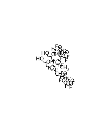 C[n+]1ccn(CC(O)CO)c1.C[n+]1ccn(CC(O)CO)c1.O=S(=O)([N-]S(=O)(=O)C(F)(F)F)C(F)(F)F.O=S(=O)([N-]S(=O)(=O)C(F)(F)F)C(F)(F)F